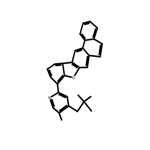 Cc1cnc(-c2cccc3c2oc2cc4ccc5ccccc5c4cc23)cc1CC(C)(C)C